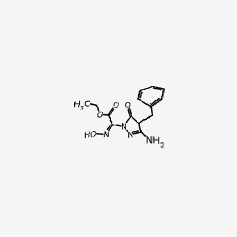 CCOC(=O)C(=NO)N1N=C(N)C(Cc2ccccc2)C1=O